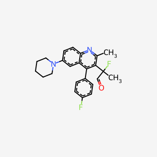 Cc1nc2ccc(N3CCCCC3)cc2c(-c2ccc(F)cc2)c1C(C)(F)C=O